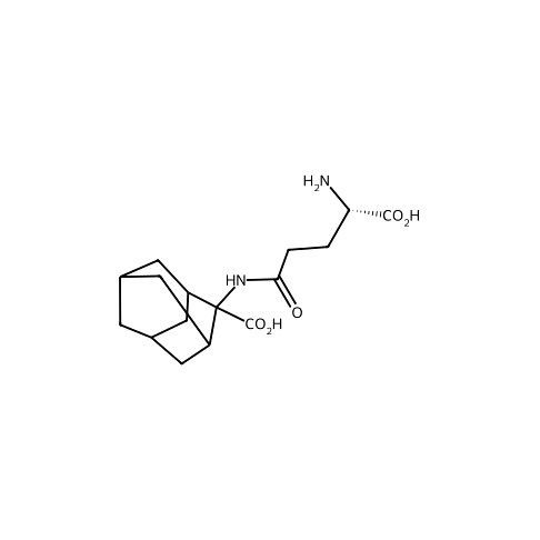 N[C@@H](CCC(=O)NC1(C(=O)O)C2CC3CC(C2)CC1C3)C(=O)O